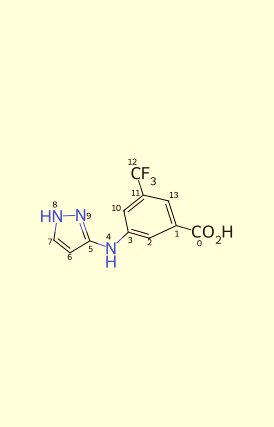 O=C(O)c1cc(Nc2cc[nH]n2)cc(C(F)(F)F)c1